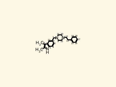 Cc1[nH]c2ccc(CN3CCN(CCc4ccccc4)CC3)cc2c1C